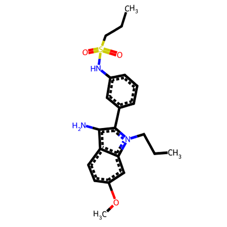 CCCn1c(-c2cccc(NS(=O)(=O)CCC)c2)c(N)c2ccc(OC)cc21